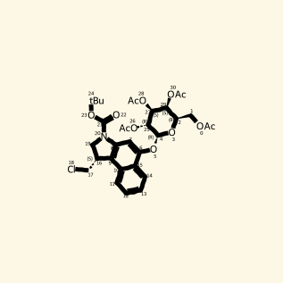 CC(=O)OC[C@H]1O[C@H](Oc2cc3c(c4ccccc24)[C@H](CCl)CN3C(=O)OC(C)(C)C)[C@H](OC(C)=O)[C@@H](OC(C)=O)[C@H]1OC(C)=O